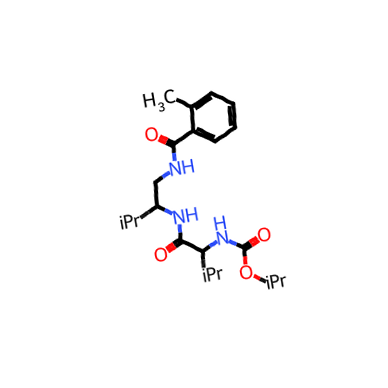 Cc1ccccc1C(=O)NCC(NC(=O)C(NC(=O)OC(C)C)C(C)C)C(C)C